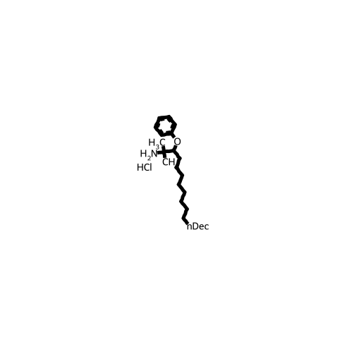 CCCCCCCCCCCCCCCCCCC(Oc1ccccc1)C(C)(C)N.Cl